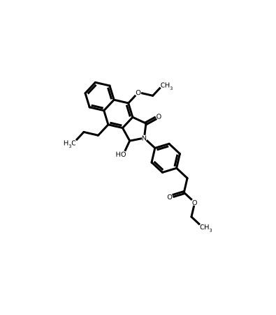 CCCc1c2c(c(OCC)c3ccccc13)C(=O)N(c1ccc(CC(=O)OCC)cc1)C2O